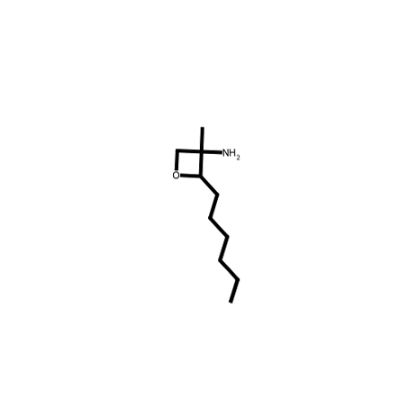 CCCCCCC1OCC1(C)N